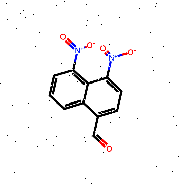 O=[C]c1ccc([N+](=O)[O-])c2c([N+](=O)[O-])cccc12